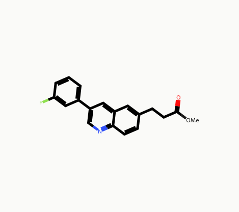 COC(=O)CCc1ccc2ncc(-c3cccc(F)c3)cc2c1